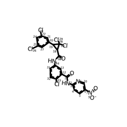 O=C(Nc1ccc([N+](=O)[O-])cn1)c1cc(NC(=O)C2C(c3cc(Cl)cc(Cl)c3)C2(Cl)Cl)ccc1Cl